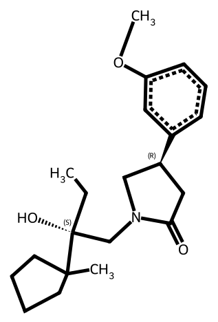 CC[C@@](O)(CN1C[C@@H](c2cccc(OC)c2)CC1=O)C1(C)CCCC1